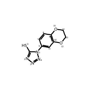 Sc1nnnn1-c1ccc2c(c1)OCCO2